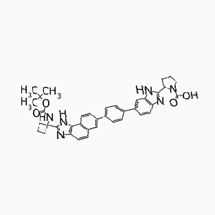 CC(C)(C)OC(=O)NC1(c2nc3ccc4cc(-c5ccc(-c6ccc7nc(C8CCCN8C(=O)O)[nH]c7c6)cc5)ccc4c3[nH]2)CCC1